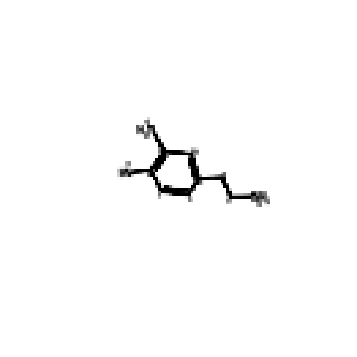 NCCc1ccc(S)c(N)c1